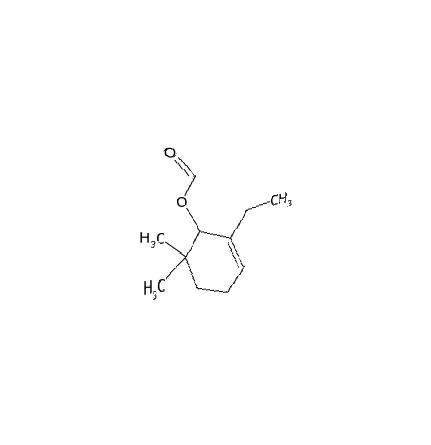 CCC1=CCCC(C)(C)C1OC=O